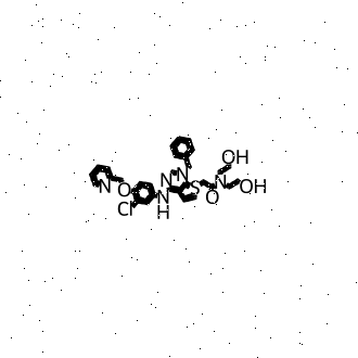 O=C(CS1=C2C(=C(Nc3ccc(OCc4ccccn4)c(Cl)c3)N=CN2Cc2ccccc2)C=C1)N(CCO)CCO